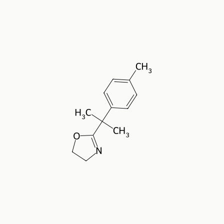 Cc1ccc(C(C)(C)C2=NCCO2)cc1